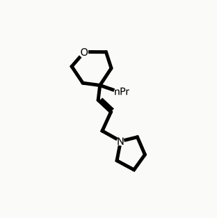 CCCC1(/C=C/CN2CCCC2)CCOCC1